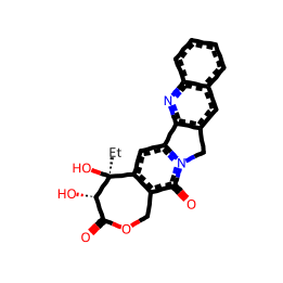 CC[C@]1(O)c2cc3n(c(=O)c2COC(=O)[C@@H]1O)Cc1cc2ccccc2nc1-3